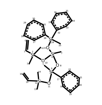 C=C[Si](C)(C)O[Si](C)(O[Si](C)(O[Si](C)(C)C=C)c1ccccc1)O[Si](C)(c1ccccc1)c1ccccc1